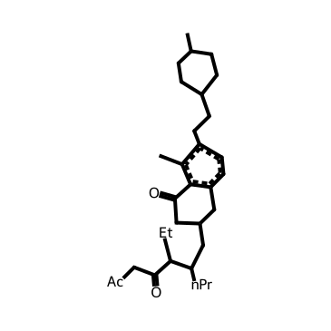 CCCC(CC1CC(=O)c2c(ccc(CCC3CCC(C)CC3)c2C)C1)C(CC)C(=O)CC(C)=O